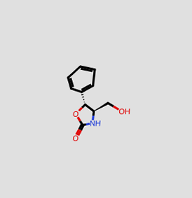 O=C1N[C@H](CO)[C@@H](c2ccccc2)O1